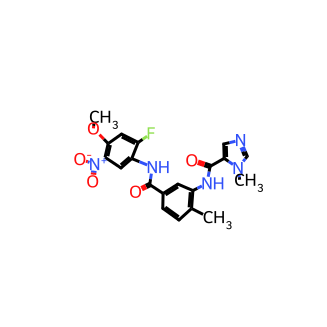 COc1cc(F)c(NC(=O)c2ccc(C)c(NC(=O)c3cncn3C)c2)cc1[N+](=O)[O-]